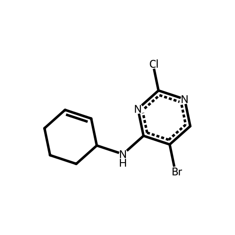 Clc1ncc(Br)c(NC2C=CCCC2)n1